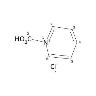 O=C(O)[n+]1ccccc1.[Cl-]